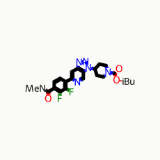 CC[C@@H](C)OC(=O)N1CCC(n2nnc3cc(-c4ccc(C(=O)NC)c(F)c4F)ncc32)CC1